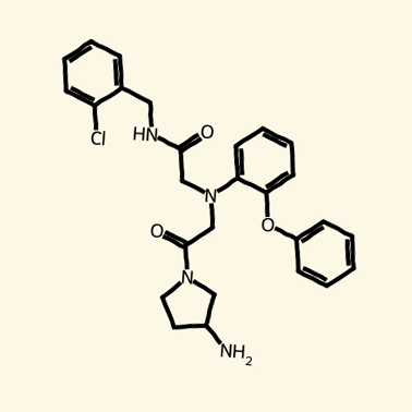 NC1CCN(C(=O)CN(CC(=O)NCc2ccccc2Cl)c2ccccc2Oc2ccccc2)C1